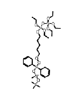 CCO[Si](OCC)(OCC)O[Si](OCC)(OCC)OCCCCCOO[Si](O[Si](C)(C)O[Si](C)(C)C)(C1C=CC=CC1)C1C=CC=CC1